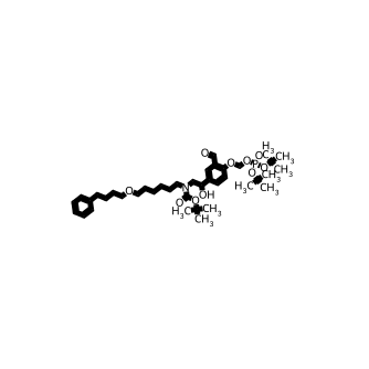 CC(C)(C)OC(=O)N(CCCCCCOCCCCc1ccccc1)CC(O)c1ccc(OCOP(=O)(OC(C)(C)C)OC(C)(C)C)c(C=O)c1